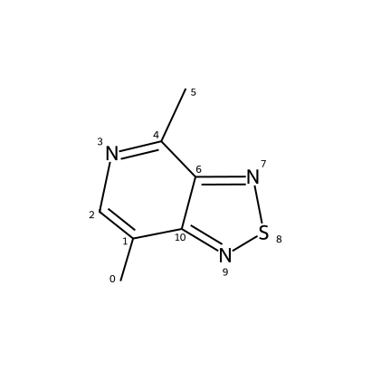 Cc1cnc(C)c2nsnc12